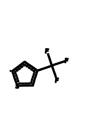 FC(F)(F)c1c[c]sc1